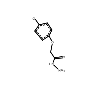 CNNC(=O)COc1ccc(Cl)cc1